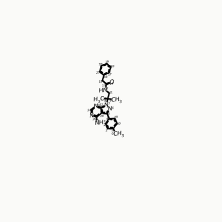 Cc1ccc(-c2nn(C(C)(C)CNC(=O)Cc3ccccc3)c3ncnc(N)c23)cc1